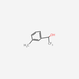 Cc1cccc(C(O)C(F)(F)F)c1